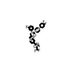 O=C(N1CCN(C2CCC(F)(F)CC2)CC1)N(Cc1cn2ccc(-c3nnc(C(F)F)o3)cc2n1)c1cccc(F)c1